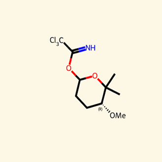 CO[C@@H]1CCC(OC(=N)C(Cl)(Cl)Cl)OC1(C)C